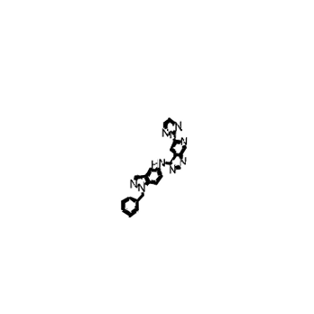 c1ccc(Cn2ncc3cc(Nc4ncnc5cnc(-n6nccn6)cc45)ccc32)cc1